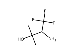 CC(C)(O)C(N)C(F)(F)F